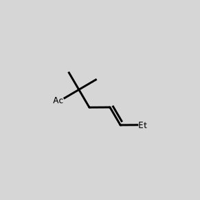 CCC=CCC(C)(C)C(C)=O